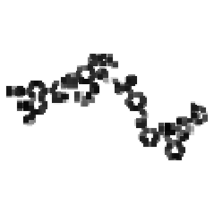 COc1cc(CNCC(O)c2ccc(O)c3[nH]c(=O)ccc23)cc(OC)c1OCCOC(=O)c1ccc(COc2cccc(C(NC(=O)O[C@H]3CN4CCC3CC4)c3ccccc3)c2)cc1